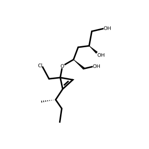 CC[C@H](C)C1=CC1(CCl)O[C@H](CO)C[C@H](O)CO